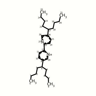 CCCCC(CCCC)c1ccc(-c2ccc(C(CCCC)CCCC)cn2)nc1